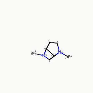 CC(C)N1CCC2C1CN2C(C)C